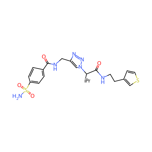 CC(C)C(C(=O)NCCc1ccsc1)n1cc(CNC(=O)c2ccc(S(N)(=O)=O)cc2)nn1